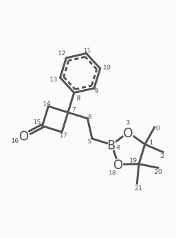 CC1(C)OB(CCC2(c3ccccc3)CC(=O)C2)OC1(C)C